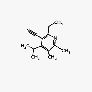 CCc1nc(C)c(C)c(C(C)C)c1C#N